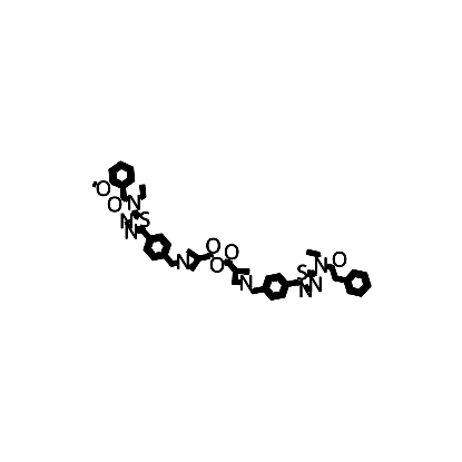 CCN(C(=O)Cc1ccccc1)c1nnc(-c2ccc(CN3CC(C(=O)OC(=O)C4CN(Cc5ccc(-c6nnc(N(CC)C(=O)c7ccccc7OC)s6)cc5)C4)C3)cc2)s1